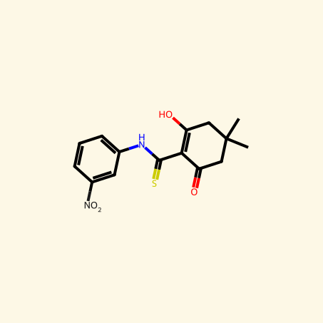 CC1(C)CC(=O)C(C(=S)Nc2cccc([N+](=O)[O-])c2)=C(O)C1